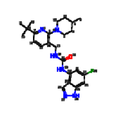 CC1CCN(c2nc(C(C)(C)C)ccc2CNC(=O)Nc2cc(F)cc3[nH]ncc23)CC1